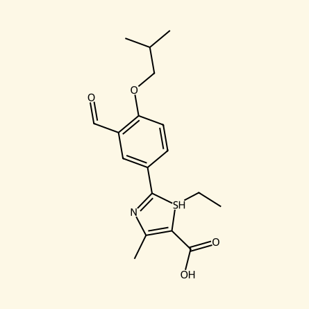 CC[SH]1C(c2ccc(OCC(C)C)c(C=O)c2)=NC(C)=C1C(=O)O